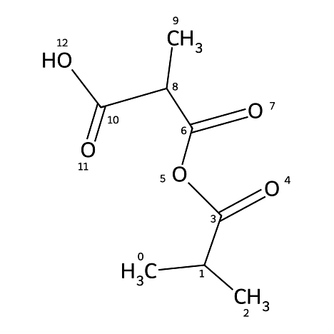 CC(C)C(=O)OC(=O)C(C)C(=O)O